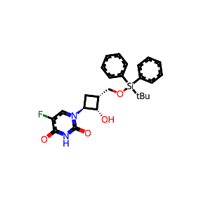 CC(C)(C)[Si](OC[C@H]1C[C@H](n2cc(F)c(=O)[nH]c2=O)[C@H]1O)(c1ccccc1)c1ccccc1